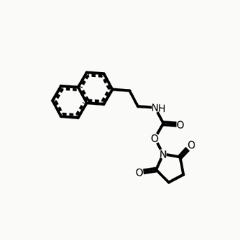 O=C(NCCc1ccc2ccccc2c1)ON1C(=O)CCC1=O